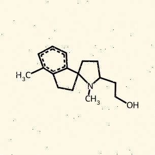 Cc1cccc2c1CCC21CCC(CCO)N1C